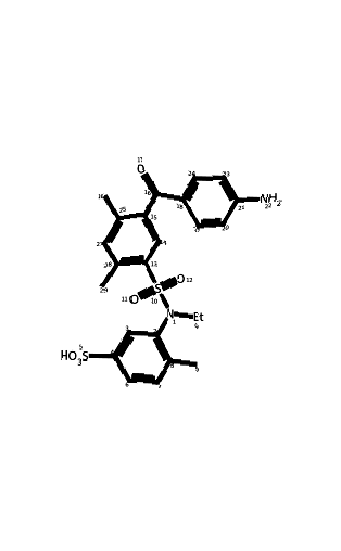 CCN(c1cc(S(=O)(=O)O)ccc1C)S(=O)(=O)c1cc(C(=O)c2ccc(N)cc2)c(C)cc1C